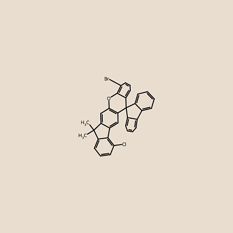 CC1(C)c2cc3c(cc2-c2c(Cl)cccc21)C1(c2ccccc2-c2ccccc21)c1cccc(Br)c1O3